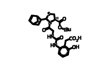 CC(C)(C)OC(=O)[C@@H]1CSC(C2CC3C=CC2C3)N1C(=O)CNC(=O)Nc1cccc(O)c1CC(=O)O